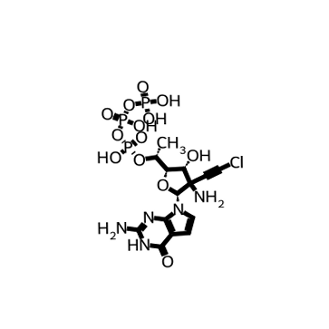 C[C@@H](OP(=O)(O)OP(=O)(O)OP(=O)(O)O)[C@H]1O[C@@H](n2ccc3c(=O)[nH]c(N)nc32)C(N)(C#CCl)[C@H]1O